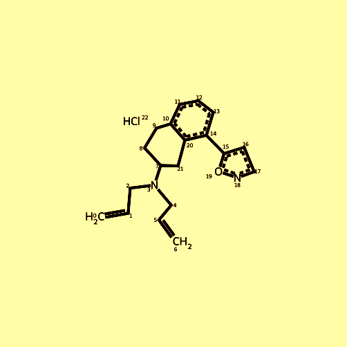 C=CCN(CC=C)C1CCc2cccc(-c3ccno3)c2C1.Cl